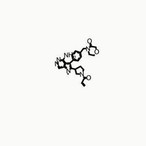 C=CC(=O)N1CCC(c2c(-c3ccc(CN4CCOCC4=O)cc3)c3c(N)nncc3n2C)C1